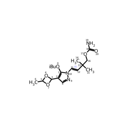 CC(C)COc1c(C2OC(C)O2)cnn1/C=C/C(C)(C)COC(N)=O